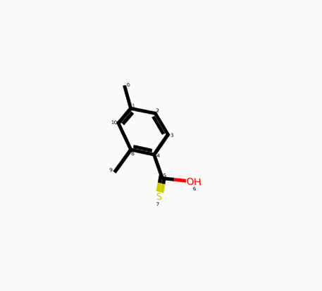 Cc1ccc(C(O)=S)c(C)c1